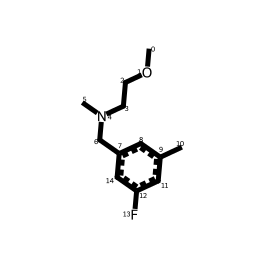 COCCN(C)Cc1cc(C)cc(F)c1